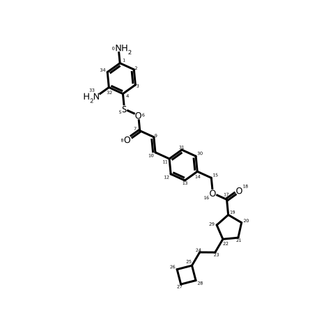 Nc1ccc(SOC(=O)/C=C/c2ccc(COC(=O)C3CCC(CCC4CCC4)C3)cc2)c(N)c1